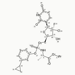 CC(C)OC(=O)[C@H](C)NP(=O)(OC[C@H]1O[C@@H](n2ccc(=O)[nH]c2=O)[C@@](F)(Cl)[C@@H]1O)Oc1cccc(C2CC2)c1